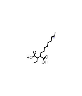 C/C=C/CCCCCCC(C(=O)O)C(CC)C(=O)O